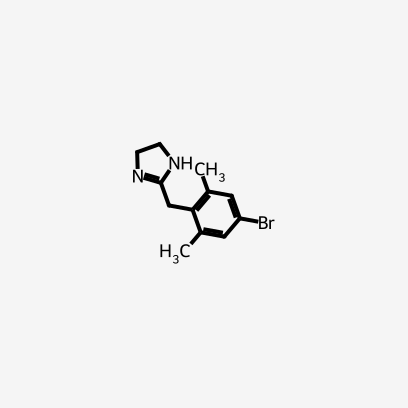 Cc1cc(Br)cc(C)c1CC1=NCCN1